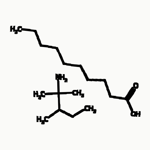 CCC(C)C(C)(C)N.CCCCCCCCCC(=O)O